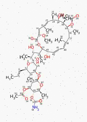 C/C=C/[C@H]1O[C@@](O)([C@@H](C)[C@H](O)[C@H](C)[C@H]2OC(=O)/C(OC)=C/C(C)=C/[C@@H](C)[C@@H](O)[C@@H](C)[C@@H](OC(C)=O)[C@H](C)C/C(C)=C/C=C/[C@@H]2O)C[C@@H](O[C@@H]2C[C@H](OC(C)=O)[C@@H](OC(N)=O)[C@H](C)O2)[C@@H]1C